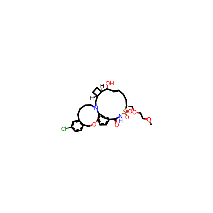 COCCOC[C@@H]1CC/C=C/[C@H](O)[C@@H]2CC[C@H]2CN2CCCCc3cc(Cl)ccc3COc3ccc(cc32)C(=O)NS1(=O)=O